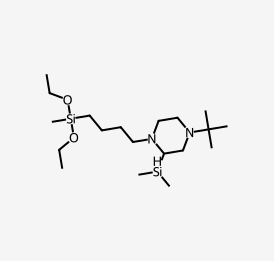 CCO[Si](C)(CCCCN1CCN(C(C)(C)C)CC1[SiH](C)C)OCC